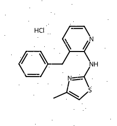 Cc1csc(Nc2ncccc2Cc2ccccc2)n1.Cl